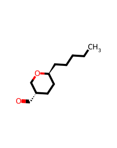 CCCCC[C@H]1CC[C@H](C=O)CO1